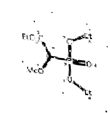 CCOC(=O)C(OC)P(=O)(OCC)OCC